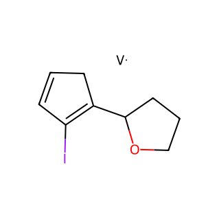 IC1=C(C2CCCO2)CC=C1.[V]